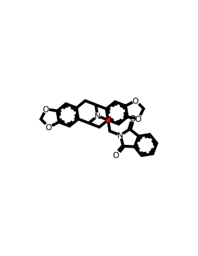 O=C1c2ccccc2C(=O)N1CCN1C2Cc3cc4c(cc3C1Cc1cc3c(cc12)OCO3)OCO4